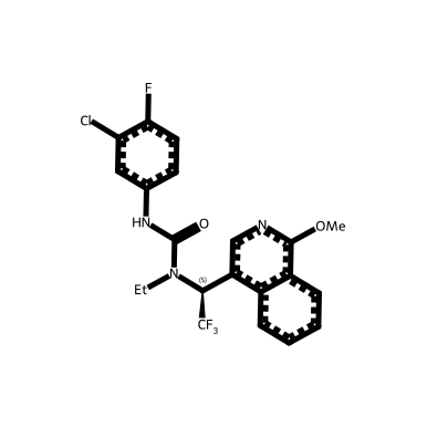 CCN(C(=O)Nc1ccc(F)c(Cl)c1)[C@@H](c1cnc(OC)c2ccccc12)C(F)(F)F